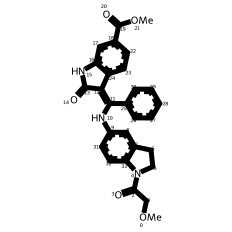 COCC(=O)N1CCc2cc(N/C(=C3\C(=O)Nc4cc(C(=O)OC)ccc43)c3ccccc3)ccc21